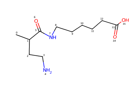 CC(CCN)C(=O)NCCCCCC(=O)O